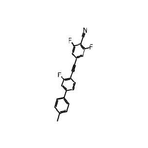 Cc1ccc(-c2ccc(C#Cc3cc(F)c(C#N)c(F)c3)c(F)c2)cc1